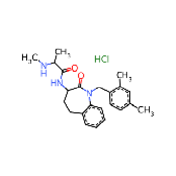 CNC(C)C(=O)NC1CCc2ccccc2N(Cc2ccc(C)cc2C)C1=O.Cl